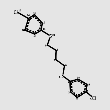 Clc1ccc(SCCCCSc2ccc(Cl)cc2)cc1